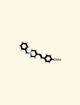 COc1ccc(/C=C/C2=CCN(Cc3ccccc3)CC2)cc1